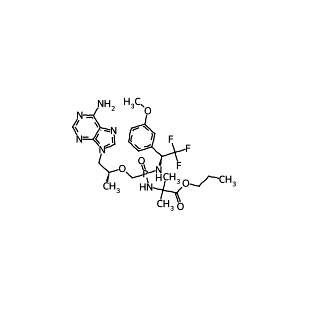 CCCOC(=O)C(C)(C)NP(=O)(CO[C@@H](C)Cn1cnc2c(N)ncnc21)N[C@@H](c1cccc(OC)c1)C(F)(F)F